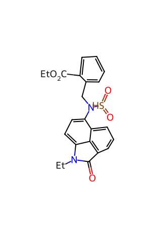 CCOC(=O)c1ccccc1CN(c1ccc2c3c(cccc13)C(=O)N2CC)[SH](=O)=O